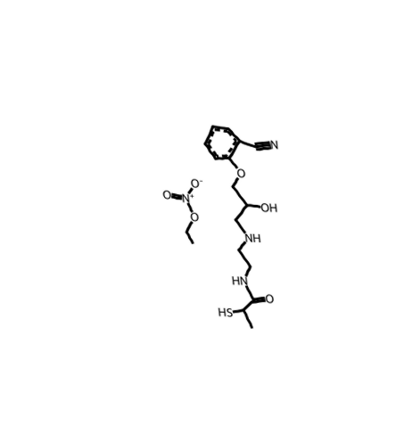 CC(S)C(=O)NCCNCC(O)COc1ccccc1C#N.CCO[N+](=O)[O-]